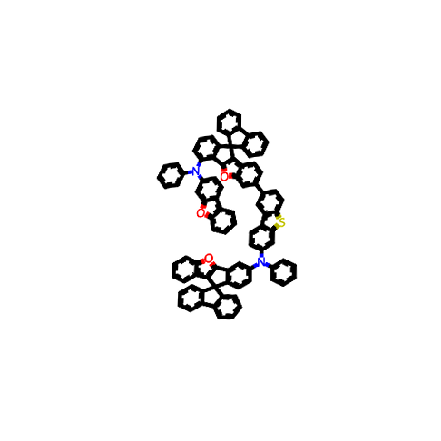 c1ccc(N(c2ccc3c(c2)-c2oc4ccccc4c2C32c3ccccc3-c3ccccc32)c2ccc3c(c2)sc2ccc(-c4ccc5c6c(oc5c4)-c4c(N(c5ccccc5)c5ccc7c(c5)oc5ccccc57)cccc4C64c5ccccc5-c5ccccc54)cc23)cc1